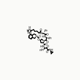 CCCC(NC(=O)[C@@H]1C[C@@H](OC(=O)N2CCc3ccccc3C2)CN1C(=O)[C@@H](NC(=O)[C@H](NC(=O)CCCCc1nnn[nH]1)C(C)C)C(C)C)C(=O)C(=O)NC1CC1